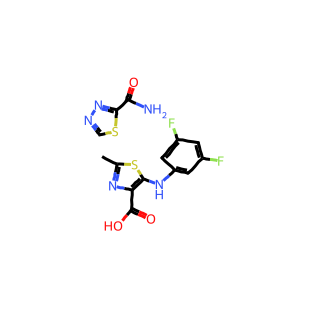 Cc1nc(C(=O)O)c(Nc2cc(F)cc(F)c2)s1.NC(=O)c1nncs1